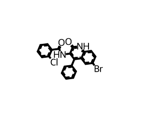 O=C(Nc1c(-c2ccccc2)c2cc(Br)ccc2[nH]c1=O)c1ccccc1Cl